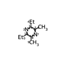 CCc1nc(CC)c(C)nc1C